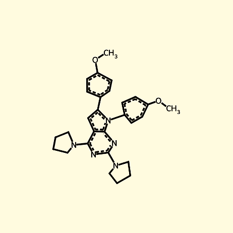 COc1ccc(-c2cc3c(N4CCCC4)nc(N4CCCC4)nc3n2-c2ccc(OC)cc2)cc1